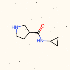 O=C(NC1CC1)[C@H]1CCNC1